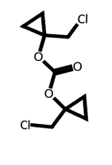 O=C(OC1(CCl)CC1)OC1(CCl)CC1